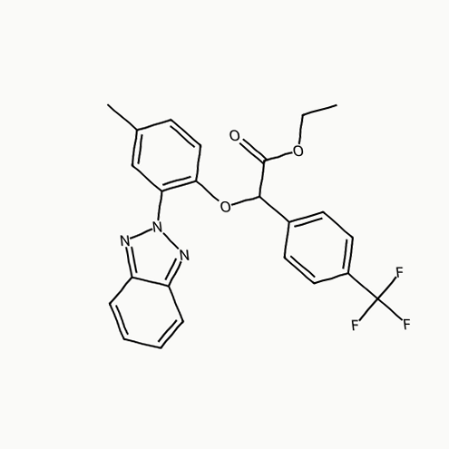 CCOC(=O)C(Oc1ccc(C)cc1-n1nc2ccccc2n1)c1ccc(C(F)(F)F)cc1